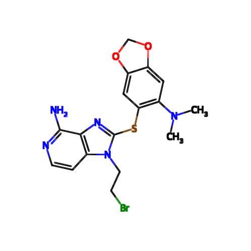 CN(C)c1cc2c(cc1Sc1nc3c(N)nccc3n1CCBr)OCO2